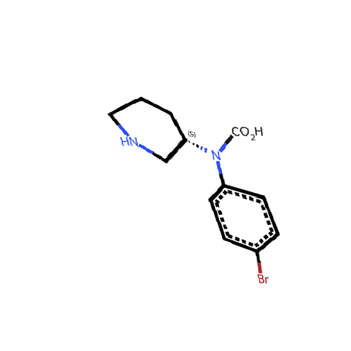 O=C(O)N(c1ccc(Br)cc1)[C@H]1CCCNC1